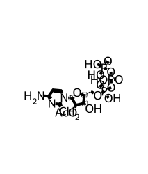 C=C1N=C(N)C=CN1[C@@H]1O[C@H](COP(=O)(O)OP(=O)(O)OP(=O)(O)O)[C@H](O)C1OC(C)=O